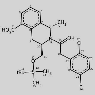 C[C@H]1c2cccc(C(=O)O)c2C[C@H](CO[Si](C)(C)C(C)(C)C)N1C(=O)Cc1cc(F)ccc1Cl